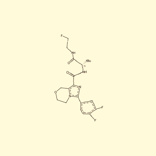 CC(C)(C)[C@H](NC(=O)c1nc(-c2ccc(F)c(F)c2)n2c1COCC2)C(=O)NCCF